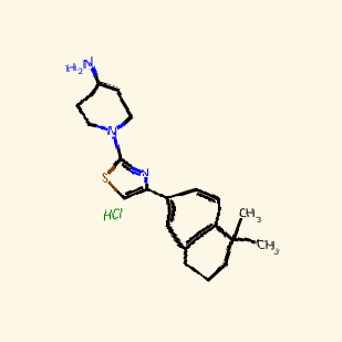 CC1(C)CCCc2cc(-c3csc(N4CCC(N)CC4)n3)ccc21.Cl